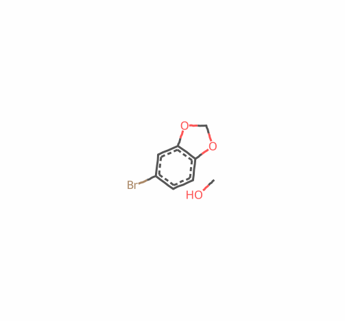 Brc1ccc2c(c1)OCO2.CO